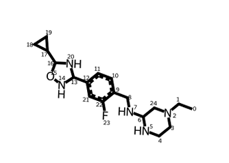 CCN1CCNC(NCc2ccc(C3NOC(C4CC4)N3)cc2F)C1